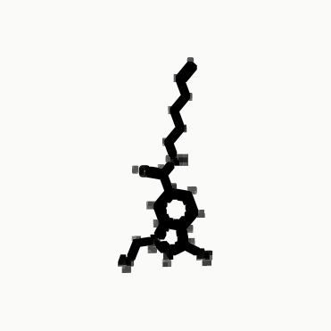 C=CCCCCNC(=O)c1ccc2c(C(C)=O)nn(CC(C)=O)c2c1